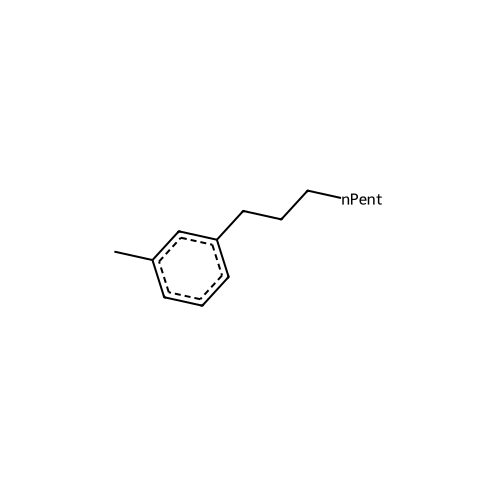 CCCCCCCCc1cccc(C)c1